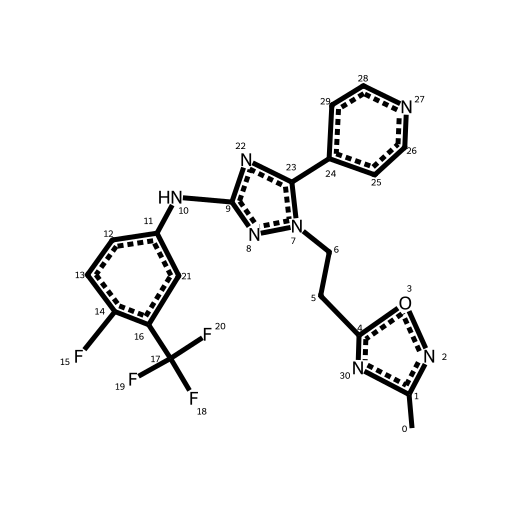 Cc1noc(CCn2nc(Nc3ccc(F)c(C(F)(F)F)c3)nc2-c2ccncc2)n1